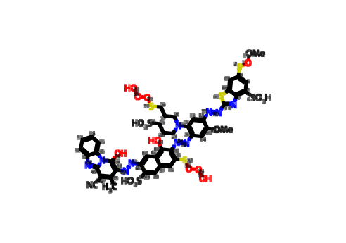 COOSc1cc(S(=O)(=O)O)c2nc(N=Nc3cc(N(CCCSOOO)CCCS(=O)(=O)O)c(N=Nc4c(SOOO)cc5cc(S(=O)(=O)O)c(N=Nc6c(C)c(C#N)c7nc8ccccc8n7c6O)cc5c4O)cc3OC)sc2c1